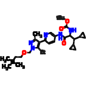 CCc1c(-c2ccc(NC(=O)[C@@H](NC(=O)OC(C)(C)C)C(C3CC3)C3CC3)cn2)c(C)nn1COCC[Si](C)(C)C